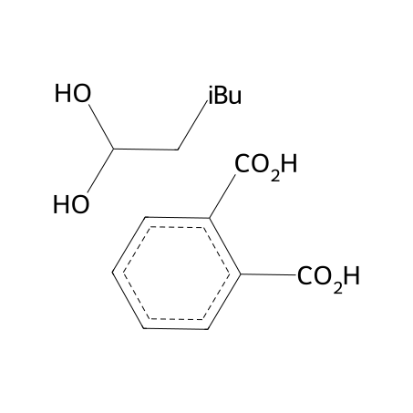 CCC(C)CC(O)O.O=C(O)c1ccccc1C(=O)O